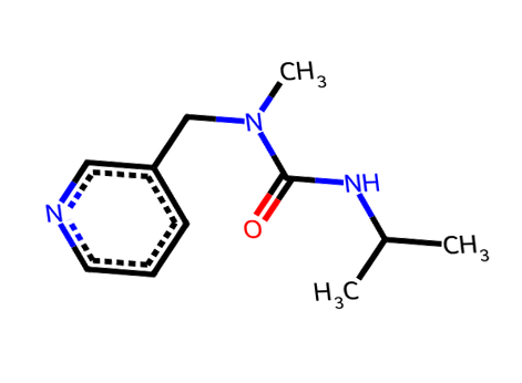 CC(C)NC(=O)N(C)Cc1cccnc1